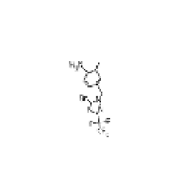 Cc1cc(Cn2nc(C(F)(F)C(F)(F)F)nc2Br)ccc1N